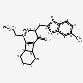 O=C(O)CN1NC(Cc2nc3cc(C(F)(F)F)ccc3s2)C(=O)C2=C1C1CCCCC21